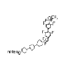 CCCCCCOC1CCC(C2CCC(C3CCC(C(F)(F)Oc4cc(F)c(-c5cc(F)c(C(F)(F)OC(F)(F)F)c(F)c5)c(F)c4)CC3)CC2)CC1